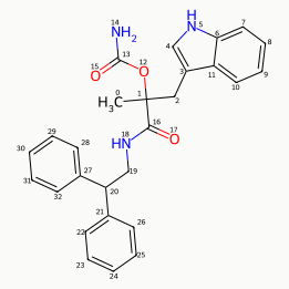 CC(Cc1c[nH]c2ccccc12)(OC(N)=O)C(=O)NCC(c1ccccc1)c1ccccc1